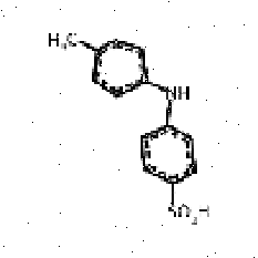 Cc1ccc(Nc2ccc(S(=O)(=O)O)cc2)cc1